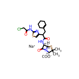 CC1(C)S[C@@H]2[C@H](NC(=O)C(CC3=CCCCC3)c3csc(NC(=O)CCl)n3)C(=O)N2[C@H]1C(=O)[O-].[Na+]